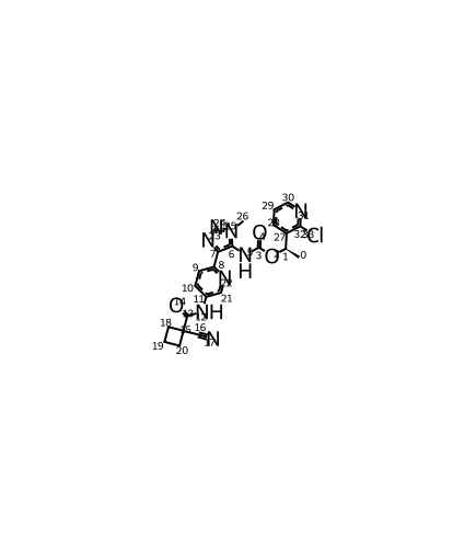 C[C@@H](OC(=O)Nc1c(-c2ccc(NC(=O)C3(C#N)CCC3)cn2)nnn1C)c1cccnc1Cl